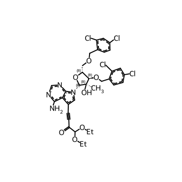 CCOC(OCC)C(=O)C#Cc1cn([C@@H]2O[C@H](COCc3ccc(Cl)cc3Cl)[C@@H](OCc3ccc(Cl)cc3Cl)[C@@]2(C)O)c2ncnc(N)c12